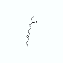 C=CCOC=CCOC(=O)C=C